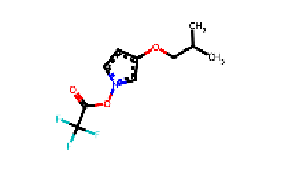 CC(C)COc1ccn(OC(=O)C(F)(F)F)c1